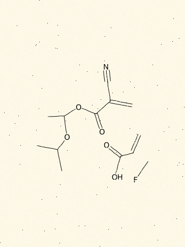 C=C(C#N)C(=O)OC(C)OC(C)C.C=CC(=O)O.CF